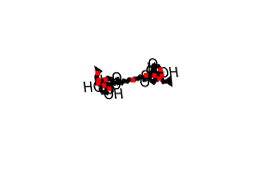 CC1N(CC2CC2)C2C[C@]34c5c2ccc(OC(=O)CCCCCCCCC(=O)Oc2ccc6c7c2O[C@H]2C(=O)CC[C@@]8(O)C(C6)N(CC6CC6)CC[C@]728)c5O[C@H]3C(O)CC[C@@]14O